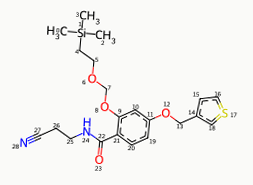 C[Si](C)(C)CCOCOc1cc(OCc2ccsc2)ccc1C(=O)NCCC#N